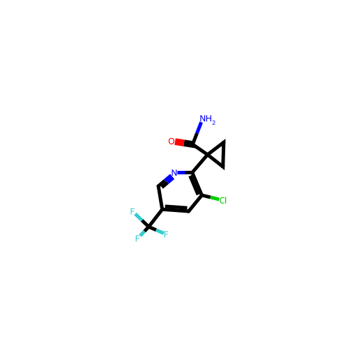 NC(=O)C1(c2ncc(C(F)(F)F)cc2Cl)CC1